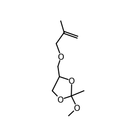 C=C(C)COCC1COC(C)(OC)O1